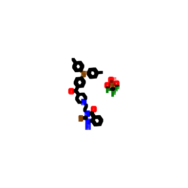 Cc1ccc([S+](c2ccc(C)cc2)c2ccc(C(=O)C3CCN(CCn4c(=S)[nH]c5ccccc5c4=O)CC3)cc2)cc1.O=S(=O)([O-])C(F)(F)F